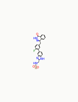 O=c1[nH]nc(Cc2ccc(F)c(-c3ccc4[nH]c(CN[SH](=O)=O)nc4c3)c2)c2ccccc12